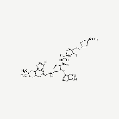 CO[C@H]1CC[C@H](COc2ncc(S(=O)(=O)NC(=O)c3ccc(NCCNCC4=C(c5ccc(Cl)cc5)CC(C)(C)CC4)cc3Oc3cccc4[nH]ncc34)cc2Cl)CC1